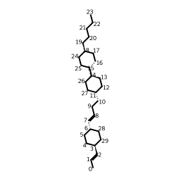 CC=C[C@H]1CC[C@H](C=CCC[C@H]2CC[C@H]([C@H]3CC[C@H](CCCCC)CC3)CC2)CC1